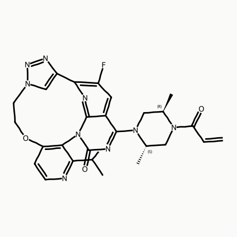 C=CC(=O)N1C[C@H](C)N(c2nc(=O)n3c4nc(c(F)cc24)-c2cn(nn2)CCOc2ccnc(C(C)C)c2-3)C[C@H]1C